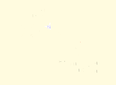 CC(C)(C)c1ccc2c(c1)C(C)(C)c1ccc(-c3ccc(N4c5ccccc5C(C)(C)c5cc6c(cc54)sc4ccccc46)cc3)cc1C2=O